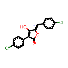 O=C1O/C(=C\c2ccc(Cl)cc2)C(O)=C1c1ccc(Cl)cc1